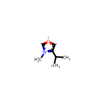 CC(C)c1coc[n+]1C